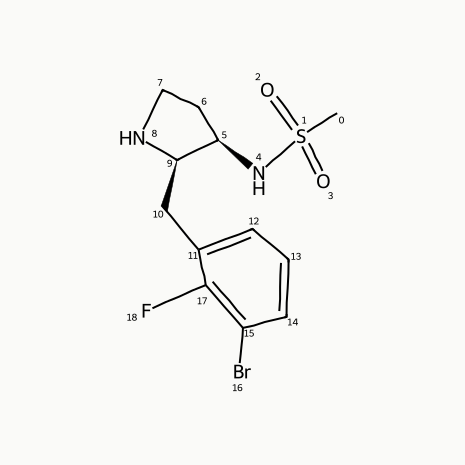 CS(=O)(=O)N[C@@H]1CCN[C@@H]1Cc1cccc(Br)c1F